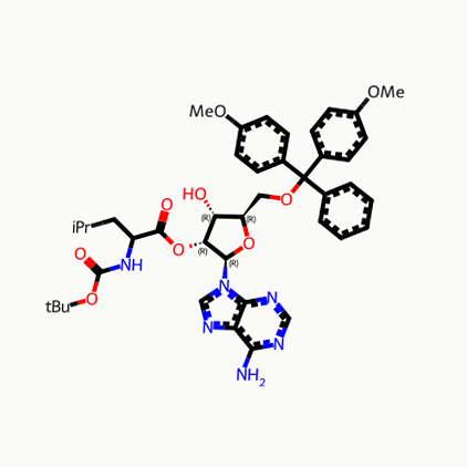 COc1ccc(C(OC[C@H]2O[C@@H](n3cnc4c(N)ncnc43)[C@H](OC(=O)C(CC(C)C)NC(=O)OC(C)(C)C)[C@@H]2O)(c2ccccc2)c2ccc(OC)cc2)cc1